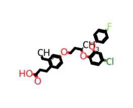 CCc1cc(OCC[C@H](C)Oc2ccc(Cl)cc2Oc2ccc(F)cc2)ccc1CCC(=O)O